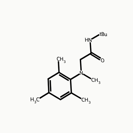 Cc1cc(C)c(N(C)CC(=O)NC(C)(C)C)c(C)c1